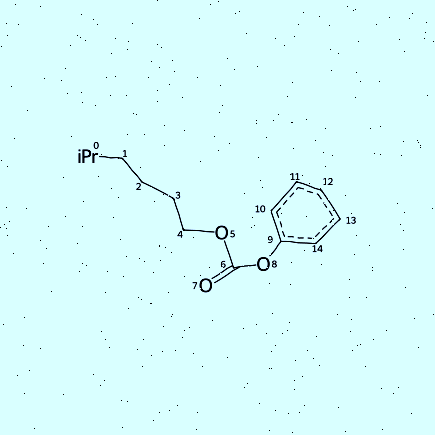 CC(C)CCCCOC(=O)Oc1ccccc1